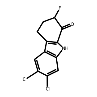 O=C1c2[nH]c3cc(Cl)c(Cl)cc3c2CCC1F